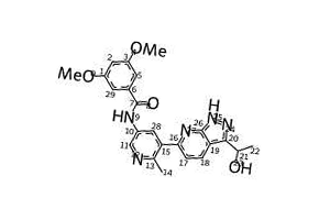 COc1cc(OC)cc(C(=O)Nc2cnc(C)c(-c3ccc4c(C(C)O)n[nH]c4n3)c2)c1